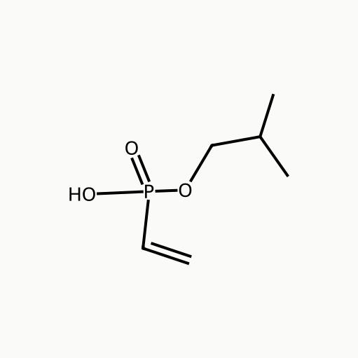 C=CP(=O)(O)OCC(C)C